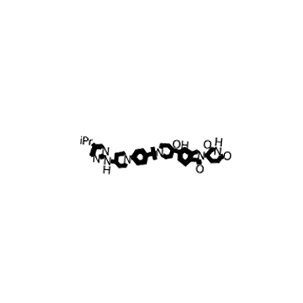 CC(C)c1cnc(NC2CCN(c3ccc(C(C)(C)N4CCC(O)(c5ccc6c(c5)CN(C5CCC(=O)NC5=O)C6=O)CC4)cc3)CC2)nc1